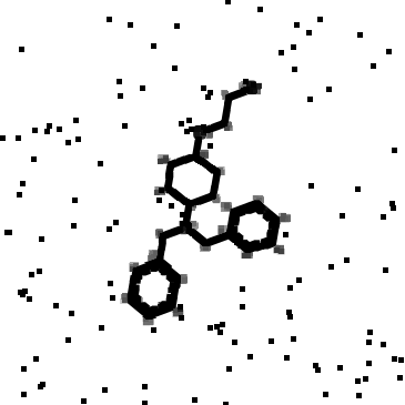 BrCCOC1CCC(N(Cc2ccccc2)Cc2ccccc2)CC1